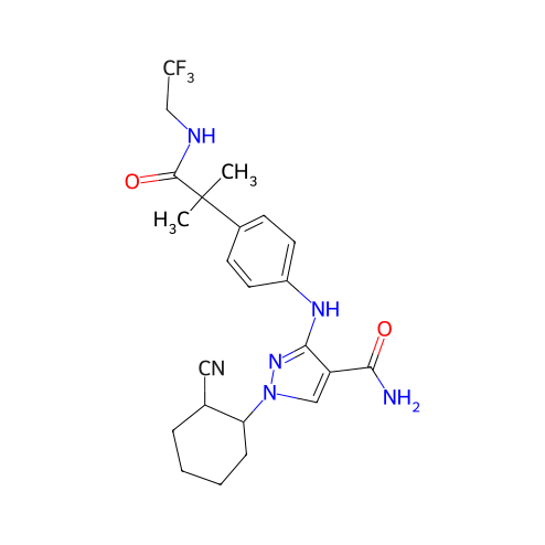 CC(C)(C(=O)NCC(F)(F)F)c1ccc(Nc2nn(C3CCCCC3C#N)cc2C(N)=O)cc1